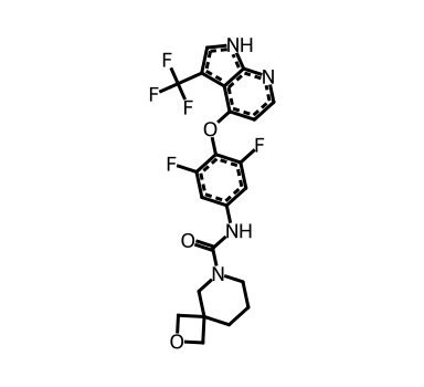 O=C(Nc1cc(F)c(Oc2ccnc3[nH]cc(C(F)(F)F)c23)c(F)c1)N1CCCC2(COC2)C1